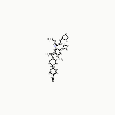 C=N/N=C(\NCC1CCCC1)c1cc(C(=C)N2CCC(c3ccc(C#N)cc3)CC2)c(C)cc1C1CCC1